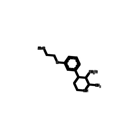 CCOC(=O)C1C(C)NCCC1c1cccc(OCCOC)c1